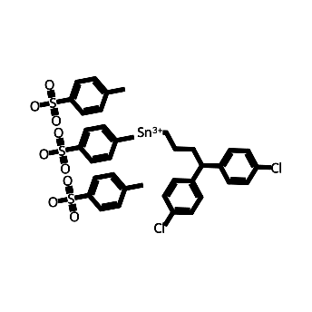 Cc1ccc(S(=O)(=O)[O-])cc1.Cc1ccc(S(=O)(=O)[O-])cc1.Cc1ccc(S(=O)(=O)[O-])cc1.Clc1ccc(C(CC[CH2][Sn+3])c2ccc(Cl)cc2)cc1